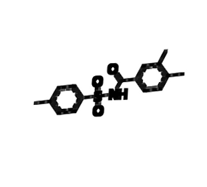 Cc1ccc(S(=O)(=O)NC(=O)c2ccc(C)c(C)c2)cc1